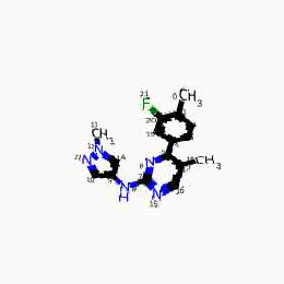 Cc1ccc(-c2nc(Nc3cnn(C)c3)ncc2C)cc1F